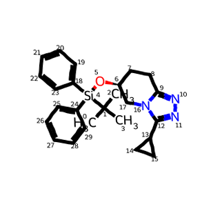 CC(C)(C)[Si](O[C@H]1CCc2nnc(C3CC3)n2C1)(c1ccccc1)c1ccccc1